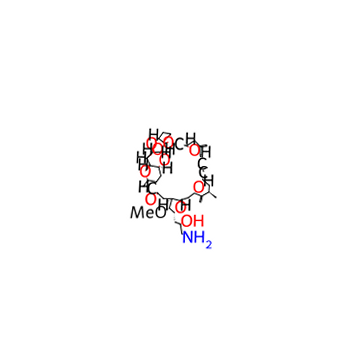 C=C1C2C[C@@H]3O[C@H](C[C@H](O)CN)[C@H](OC)[C@H]3CC(=O)C[C@H]3CC[C@@H]4O[C@@H]5[C@H]6O[C@@H]7C[C@](CC[C@H]8CC(=C)[C@H](CC[C@@H](C[C@H]1C)O2)O8)(O[C@H]6[C@H]4O3)O[C@H]57